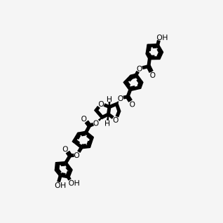 O=C(Oc1ccc(C(=O)O[C@@H]2CO[C@H]3[C@@H]2OC[C@@H]3OC(=O)c2ccc(OC(=O)c3ccc(O)c(O)c3)cc2)cc1)c1ccc(O)cc1